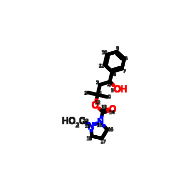 CC(C)(CC(O)c1ccccc1)OC(=O)N1CCCN1C(=O)O